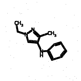 CCn1cc(Nc2ccccc2)c(C)n1